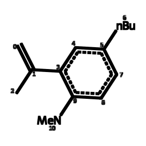 C=C(C)c1cc(CCCC)ccc1NC